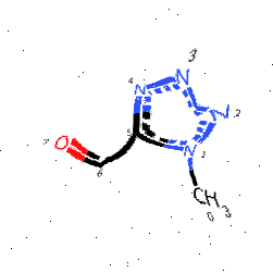 Cn1nnnc1C=O